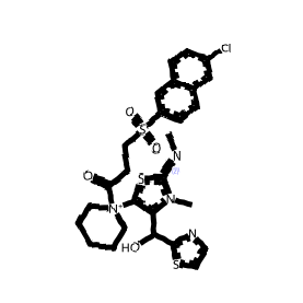 C/N=c1\sc([N+]2(C(=O)CCS(=O)(=O)c3ccc4cc(Cl)ccc4c3)CCCCC2)c(C(O)c2nccs2)n1C